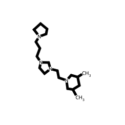 CC1CC(C)CN(CCN2CCN(CCCN3CCCC3)C2)C1